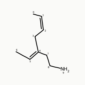 C/C=C\C/C(=C\C)CCN